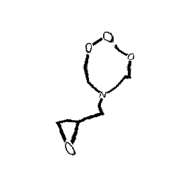 C1OC1CN1COOOC1